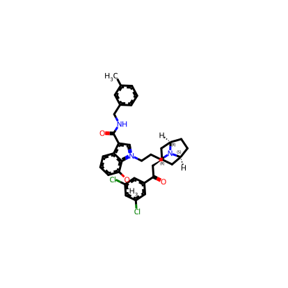 COc1cccc2c(C(=O)NCc3cccc(C)c3)cn(CCCN3[C@@H]4CC[C@H]3C[C@@H](CC(=O)c3cc(Cl)cc(Cl)c3)C4)c12